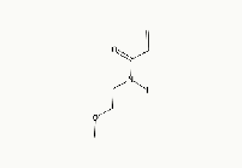 C=CC(=O)N(I)CCOC